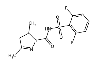 CC1=NN(C(=O)NS(=O)(=O)c2c(F)cccc2F)C(C)C1